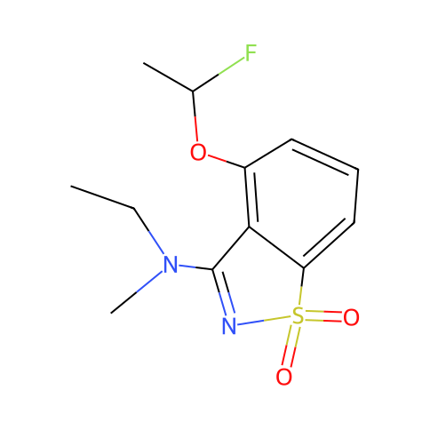 CCN(C)C1=NS(=O)(=O)c2cccc(OC(C)F)c21